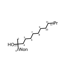 CCCCCCCCCC(C)(O)CCCCCCCCC(C)C